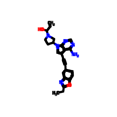 C=CC(O)N1CC[C@H](n2cc(C#Cc3ccc4oc(CC)nc4c3)c3c(N)ncnc32)C1